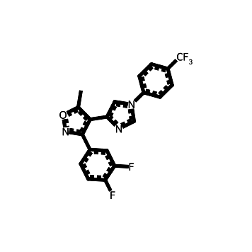 Cc1onc(-c2ccc(F)c(F)c2)c1-c1cn(-c2ccc(C(F)(F)F)cc2)cn1